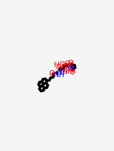 O=C(CCCc1ccc2ccc3cccc4ccc1c2c34)NCNC(=O)C(O)C(O)C(=O)ON1C(=O)CCC1=O